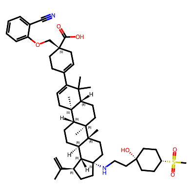 C=C(C)[C@@H]1CC[C@]2(NCC[C@]3(O)CC[C@@H](S(C)(=O)=O)CC3)CC[C@]3(C)[C@H](CC[C@@H]4[C@@]5(C)CC=C(C6=CC[C@@](COc7ccccc7C#N)(C(=O)O)CC6)C(C)(C)[C@@H]5CC[C@]43C)[C@@H]12